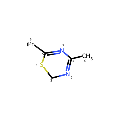 CC1=NCSC(C(C)C)=N1